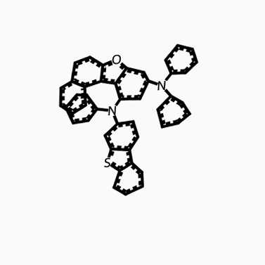 c1ccc(N(c2ccccc2)c2cc(N(c3ccccc3)c3ccc4c(c3)sc3ccccc34)c3c(c2)oc2ccc4ccccc4c23)cc1